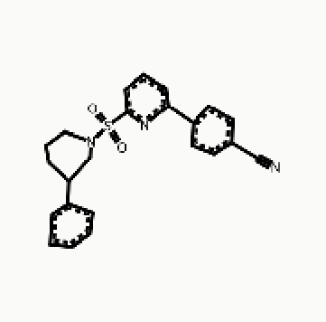 N#Cc1ccc(-c2cccc(S(=O)(=O)N3CCCC(c4ccccc4)C3)n2)cc1